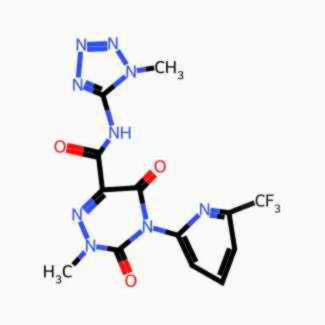 Cn1nnnc1NC(=O)c1nn(C)c(=O)n(-c2cccc(C(F)(F)F)n2)c1=O